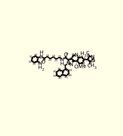 COc1cc2c(cc1-c1c(C)noc1C)ncc1c(C(=O)NCCCCCC(=O)Nc3ccccc3N)n(Cc3cccc4ccccc34)nc12